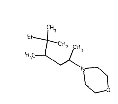 CCC(C)(C)C(C)CC(C)N1CCOCC1